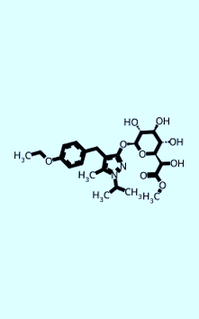 CCOc1ccc(Cc2c(O[C@@H]3O[C@H](C(O)C(=O)OC)[C@@H](O)[C@H](O)[C@H]3O)nn(C(C)C)c2C)cc1